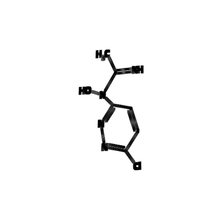 CC(=N)N(O)c1ccc(Cl)nn1